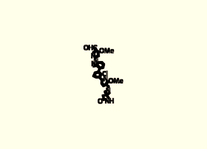 COc1cc(-n2ncc3c(-c4cccc(-c5ccc(CN6CC7(CNC(=O)C7)C6)c(OC)n5)c4Cl)cccc32)ncc1C=O